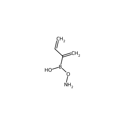 C=CC(=C)B(O)ON